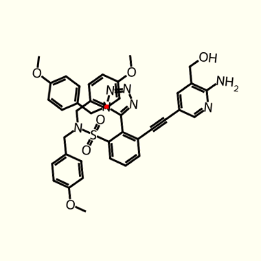 COc1ccc(CN(Cc2ccc(OC)cc2)S(=O)(=O)c2cccc(C#Cc3cnc(N)c(CO)c3)c2-c2nnnn2Cc2ccc(OC)cc2)cc1